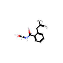 C=C(C)Cc1ccccc1C(=O)N=C=O